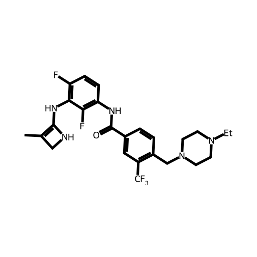 CCN1CCN(Cc2ccc(C(=O)Nc3ccc(F)c(NC4=C(C)CN4)c3F)cc2C(F)(F)F)CC1